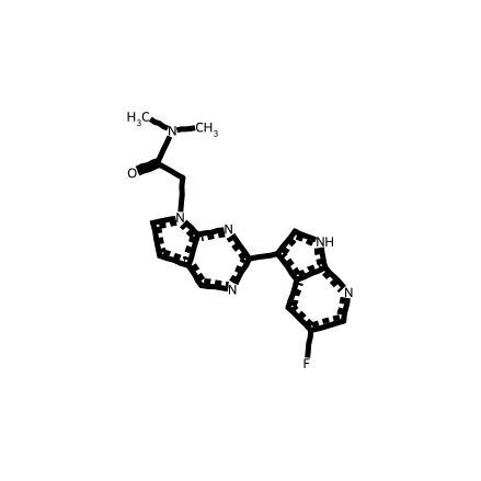 CN(C)C(=O)Cn1ccc2cnc(-c3c[nH]c4ncc(F)cc34)nc21